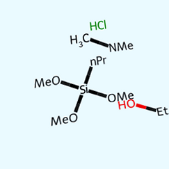 CCC[Si](OC)(OC)OC.CCO.CNC.Cl